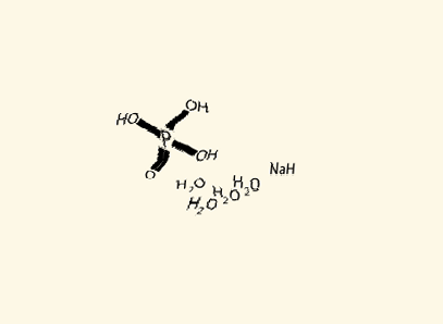 O.O.O.O.O=P(O)(O)O.[NaH]